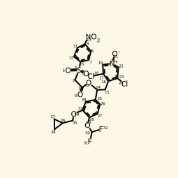 O=C(CS(=O)(=O)c1ccc([N+](=O)[O-])cc1)OC(Cc1c(Cl)c[n+]([O-])cc1Cl)c1ccc(OC(F)F)c(OCC2CC2)c1